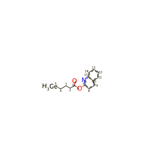 O=C(CC[CH2][GeH3])Oc1ccc2ccccc2n1